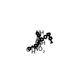 O=C(NS(=O)(=O)c1ccc(NCC2CCOCC2)c([N+](=O)[O-])c1)c1ccc(C2CCC(N3CCCC3c3ccc(C4CC4)cc3)CC2)cc1Oc1cnc2[nH]ccc2c1